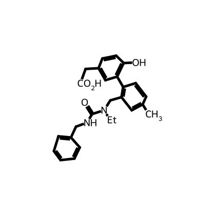 CCN(Cc1cc(C)ccc1-c1cc(CC(=O)O)ccc1O)C(=O)NCc1ccccc1